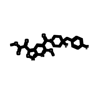 COC(=O)C(=O)c1onc2nc(OC)c(C(=O)N3CCC(F)(Cc4ccc(F)cc4)CC3)cc12